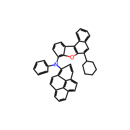 c1ccc(N(c2ccc3ccc4cccc5ccc2c3c45)c2cccc3c2oc2c(C4CCCCC4)cc4ccccc4c23)cc1